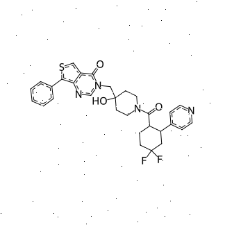 O=C(C1CCC(F)(F)CC1c1ccncc1)N1CCC(O)(Cn2cnc3c(-c4ccccc4)scc3c2=O)CC1